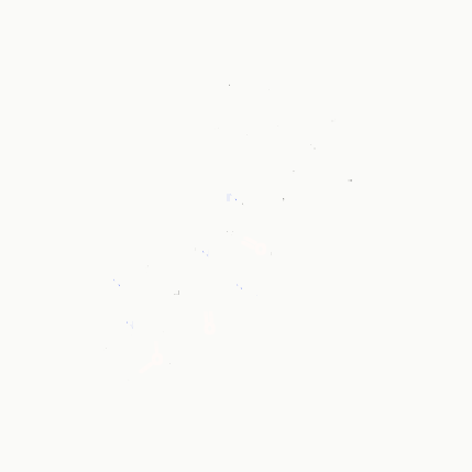 NS(=O)(=NC(=O)Nc1cc2c(c3c1CCC3)CCC2)c1cnn2c1OCC2